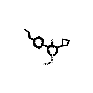 CCCOn1cc(-c2ccc(C=CI)cc2)c(=O)c(C2CCC2)c1